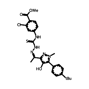 COC(=O)c1ccc(NC(=S)NN=C(C)c2nn(C)c(-c3ccc(C(C)(C)C)cc3)c2O)cc1Cl